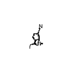 CCc1cn(C)c2cc(C#N)ccc12